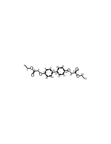 CCOC(=O)COc1ccc(-c2ccc(OCC(=O)OCC)cc2)cc1